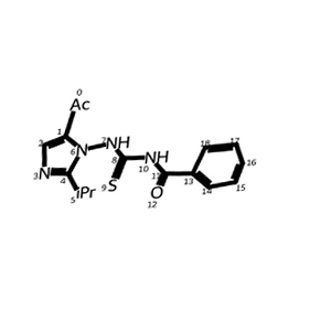 CC(=O)c1cnc(C(C)C)n1NC(=S)NC(=O)c1ccccc1